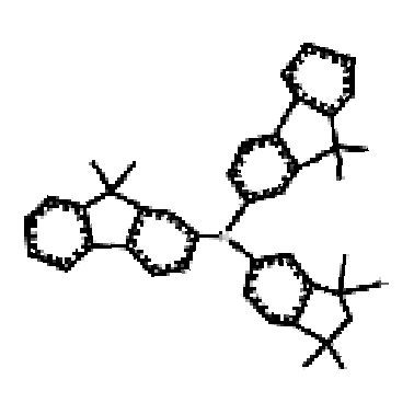 [2H]C1(C)CC(C)(C)c2ccc(N(c3ccc4c(c3)C(C)(C)c3ccccc3-4)c3ccc4c(c3)C(C)(C)c3ccccc3-4)cc21